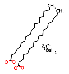 CCCCCCCCCCCCCCCCCC(=O)[O-].CCCCCCCCCCCCCCCCCC(=O)[O-].[BaH2].[Cd].[Zn+2]